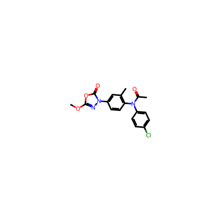 COc1nn(-c2ccc(N(C(C)=O)c3ccc(Cl)cc3)c(C)c2)c(=O)o1